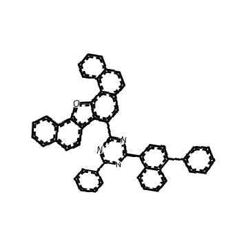 c1ccc(-c2nc(-c3ccc(-c4ccccc4)c4ccccc34)nc(-c3cc4ccc5ccccc5c4c4oc5c6ccccc6ccc5c34)n2)cc1